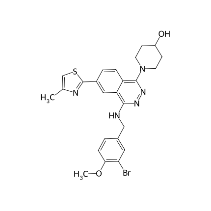 COc1ccc(CNc2nnc(N3CCC(O)CC3)c3ccc(-c4nc(C)cs4)cc23)cc1Br